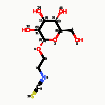 OC[C@H]1O[C@H](OCCN=C=S)[C@@H](O)[C@@H](O)[C@@H]1O